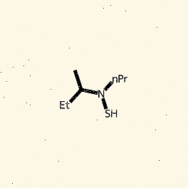 CCCN(S)C(C)CC